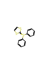 c1ccc(S(c2ccccc2)=c2sccs2)cc1